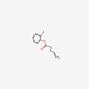 C=CCCC(=O)Oc1ccccc1I